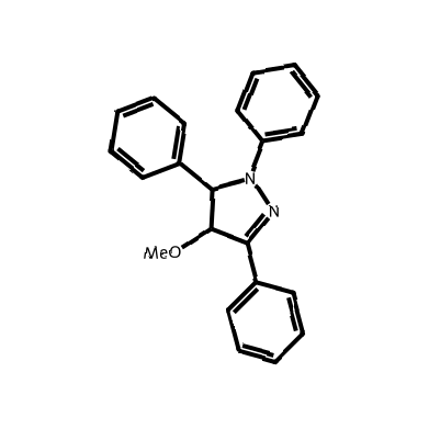 COC1C(c2ccccc2)=NN(c2ccccc2)C1c1ccccc1